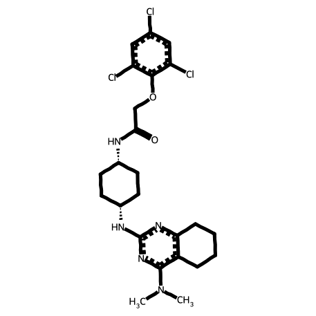 CN(C)c1nc(N[C@H]2CC[C@@H](NC(=O)COc3c(Cl)cc(Cl)cc3Cl)CC2)nc2c1CCCC2